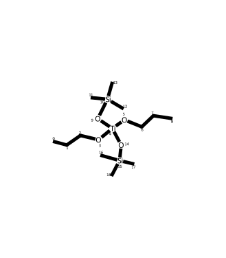 CCC[O][Ti]([O]CCC)([O][Si](C)(C)C)[O][Si](C)(C)C